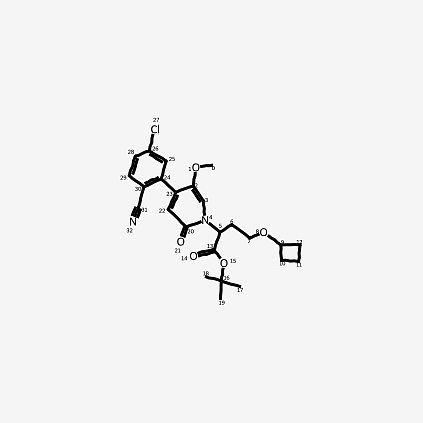 COc1cn(C(CCOC2CCC2)C(=O)OC(C)(C)C)c(=O)cc1-c1cc(Cl)ccc1C#N